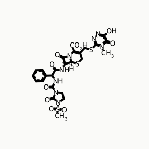 Cn1c(SCC2=C(C(=O)O)N3C(=O)[C@H](NC(=O)C(NC(=O)N4CCN(S(C)(=O)=O)C4=O)c4ccccc4)[C@@H]3SC2)nnc(O)c1=O